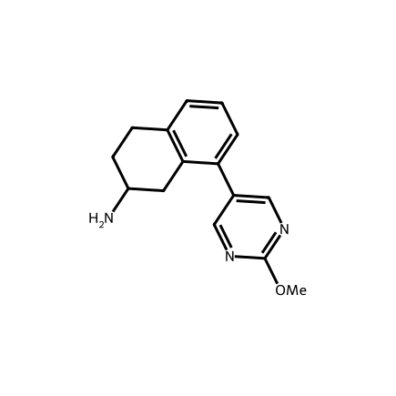 COc1ncc(-c2cccc3c2CC(N)CC3)cn1